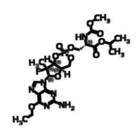 CCOc1nc(N)nc2c1ncn2[C@@H]1O[C@@H]2CO[P@@](=O)(OC[C@H](NC(=O)OC)C(=O)OC(C)C)O[C@H]2[C@@]1(C)F